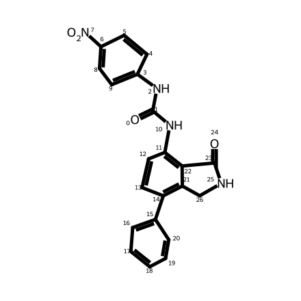 O=C(Nc1ccc([N+](=O)[O-])cc1)Nc1ccc(-c2ccccc2)c2c1C(=O)NC2